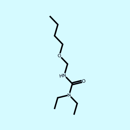 CCCCOCNC(=O)N(CC)CC